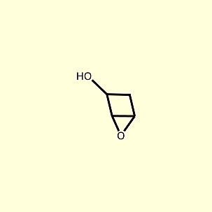 OC1CC2OC12